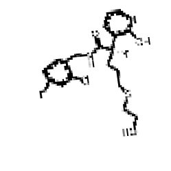 O=C(NCc1ccc(F)cc1Cl)[C@](F)(CCCSCCO)c1cccnc1O